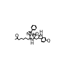 COc1ccc2c(c1)NC(=O)C2CC(=O)N[C@@H](CCCCCC(C)=O)C1=[N+]C=C(c2ccccc2)N1